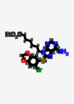 CCOC(=O)CCCCCCn1c(Sc2cc3c(cc2Br)OCO3)nc2c(N)ncnc21